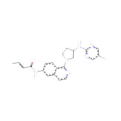 C/C=C/C(=O)Nc1ccc2c(N3CCC(Nc4ncc(Br)cn4)C3)nccc2c1